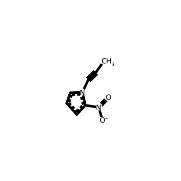 CC#Cn1cccc1[N+](=O)[O-]